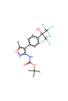 Cc1onc(NC(=O)OC(C)(C)C)c1-c1ccc(C(O)(C(F)(F)F)C(F)(F)F)cc1